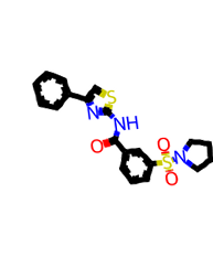 O=C(Nc1nc(-c2ccccc2)cs1)c1cccc(S(=O)(=O)N2CCCC2)c1